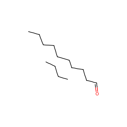 CCCC.CCCCCCCCCC=O